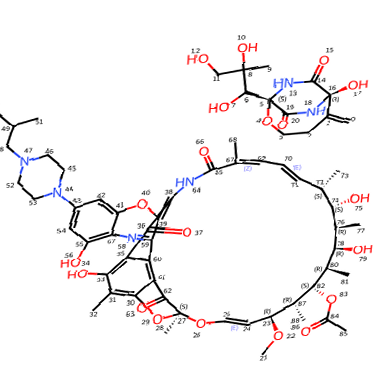 C=C1CCO[C@]2(C(O)C(C)(O)CO)NC(=O)[C@@]1(O)NC2=O.CO[C@H]1/C=C/O[C@@]2(C)Oc3c(C)c(O)c4c(=O)c(c5oc6cc(N7CCN(CC(C)C)CC7)cc(O)c6nc-5c4c3C2=O)NC(=O)/C(C)=C\C=C\[C@H](C)[C@H](O)[C@@H](C)[C@@H](O)[C@@H](C)[C@H](OC(C)=O)[C@@H]1C